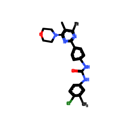 CCc1nc(-c2ccc(NC(=O)Nc3ccc(Cl)c(C(F)(F)F)c3)cc2)nc(N2CCOCC2)c1C